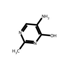 Cc1ncc(N)c(O)n1